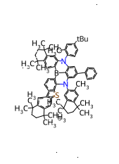 Cc1cc(C(C)(C)C)ccc1N1c2cc3c(cc2B2c4ccc5c(sc6cc7c(cc65)C(C)(C)CCC7(C)C)c4N(c4cc5c(cc4C)C(C)(C)CCC5(C)C)c4cc(-c5ccccc5)cc1c42)C(C)(C)CCC3(C)C